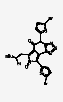 CCCCC(CC)CC1=C2C(=O)C(c3ccc(Br)s3)c3nsnc3C2=C(c2ccc(Br)s2)[N+]1=O